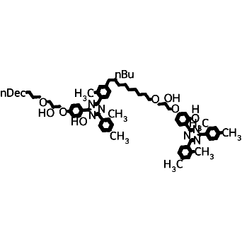 CCCCCCCCCCCCCOCC(O)COc1ccc(-c2nc(-c3ccc(C)cc3C)nc(-c3ccc(CC(CCCC)CCCCCCCOCC(O)COc4ccc(-c5nc(-c6ccc(C)cc6C)nc(-c6ccc(C)cc6C)n5)c(O)c4)cc3C)n2)c(O)c1